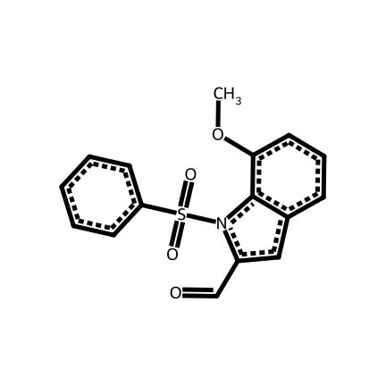 COc1cccc2cc(C=O)n(S(=O)(=O)c3ccccc3)c12